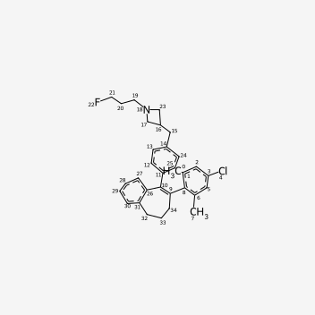 Cc1cc(Cl)cc(C)c1C1=C(c2ccc(CC3CN(CCCF)C3)cc2)c2ccccc2CCC1